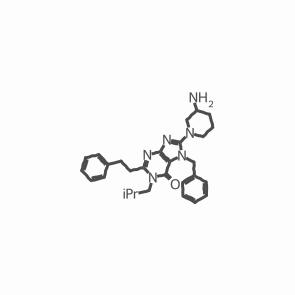 CC(C)Cn1c(CCc2ccccc2)nc2nc(N3CCCC(N)C3)n(Cc3ccccc3)c2c1=O